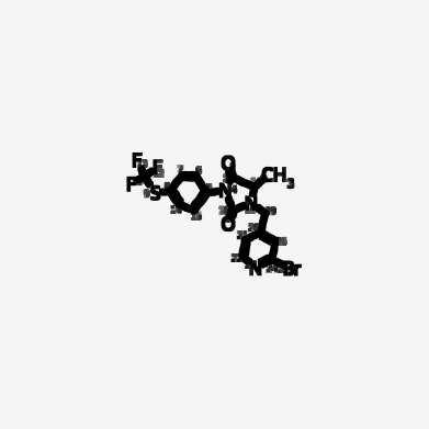 CC1C(=O)N(c2ccc(SC(F)(F)F)cc2)C(=O)N1Cc1ccnc(Br)c1